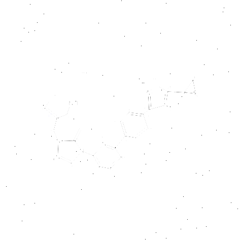 Cl.NC/C(=C\F)Cn1ncn(-c2cccc(-c3ccc(-c4noc(C5CC5)n4)cc3)n2)c1=O